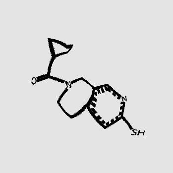 O=C(C1CC1)N1CCc2cc(S)ncc2C1